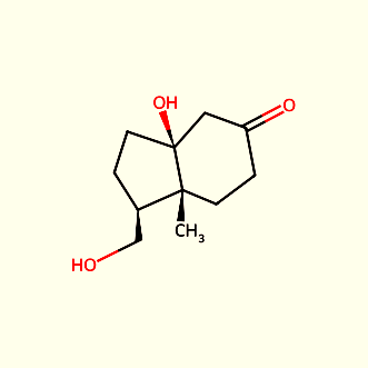 C[C@]12CCC(=O)C[C@@]1(O)CC[C@@H]2CO